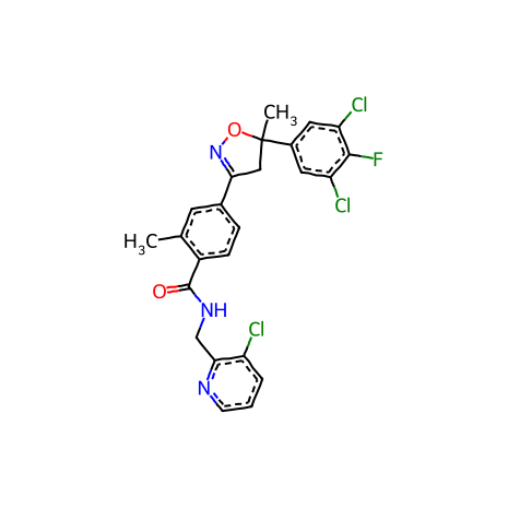 Cc1cc(C2=NOC(C)(c3cc(Cl)c(F)c(Cl)c3)C2)ccc1C(=O)NCc1ncccc1Cl